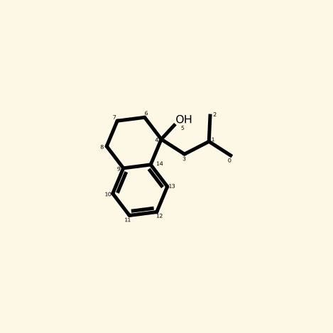 CC(C)CC1(O)CCCc2ccccc21